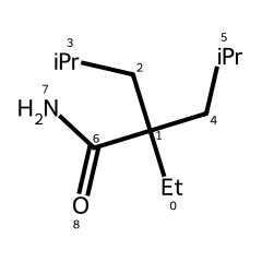 CCC(CC(C)C)(CC(C)C)C(N)=O